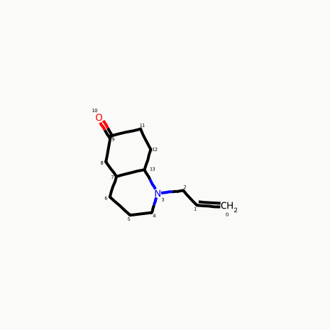 C=CCN1CCCC2CC(=O)CCC21